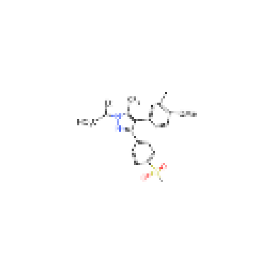 CCC(C(=O)O)n1nc(-c2ccc(S(C)(=O)=O)cc2)c(-c2ccc(OC)c(C)c2)c1C(F)(F)F